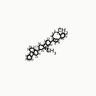 C=C1C/C=C\c2cc(ccc2-c2ccc3c4ccc(-c5ccc6c7c(cccc57)-c5ccccc5-6)cc4n(C)c3c2)-c2ccccc21